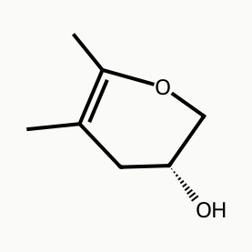 CC1=C(C)OC[C@H](O)C1